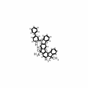 CC1(C)c2ccccc2-c2c1ccc1c2-c2cc3c4ccccc4n(C4=CC(c5ccccc5)=CCN4)c3cc2C1(C)C